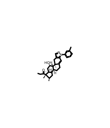 CCC(=O)[C@@]1(C)[C@H](C)C[C@H]2[C@@H]3CCC4=Cc5c(cnn5-c5cccc(C)c5)C[C@]4(C)[C@H]3[C@@H](O)C[C@@]21C